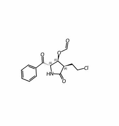 O=CO[C@@H]1[C@@H](C(=O)c2ccccc2)NC(=O)[C@@H]1CCCl